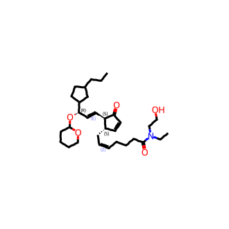 CCCC1CCC([C@H](/C=C/[C@H]2C(=O)C=C[C@@H]2C/C=C\CCCC(=O)N(CC)CCO)OC2CCCCO2)C1